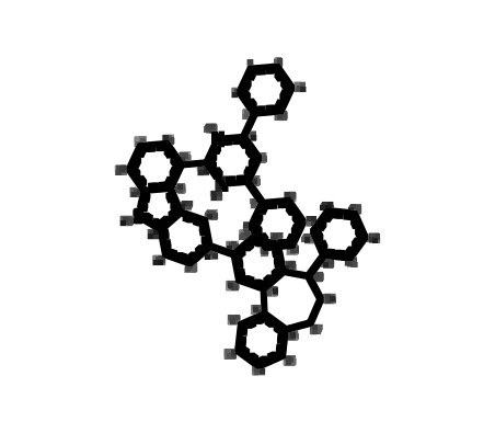 c1ccc(-c2cc(-c3ccccc3)nc(-c3cccc4sc5ccc(-c6ccc7c(c6)-c6ccccc6CCC7c6ccccc6)cc5c34)n2)cc1